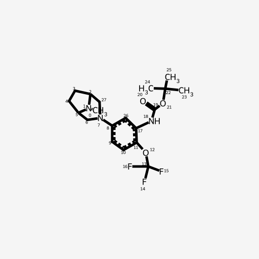 CN1C2CCC1CN(c1ccc(OC(F)(F)F)c(NC(=O)OC(C)(C)C)c1)C2